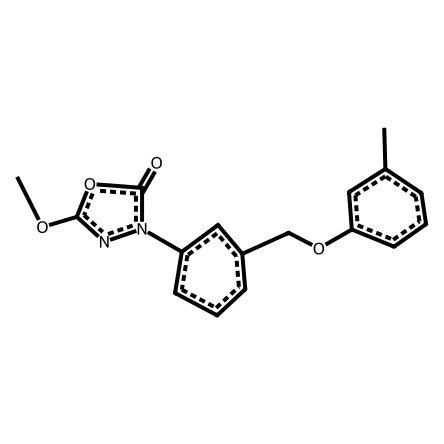 COc1nn(-c2cccc(COc3cccc(C)c3)c2)c(=O)o1